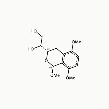 COc1ccc(OC)c2c1C[C@@H](C(O)CO)O[C@@H]2OC